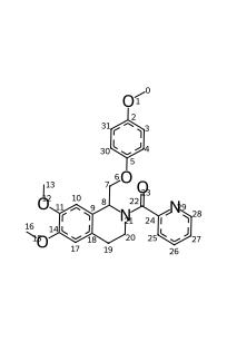 COc1ccc(OCC2c3cc(OC)c(OC)cc3CCN2C(=O)c2ccccn2)cc1